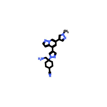 Cn1cc(-c2cc(-c3cnn(C4(CN)CCC(C#N)CC4)c3)c3ccnn3c2)cn1